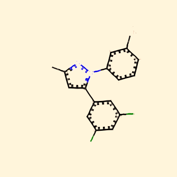 CCOC(=O)c1cc(-c2cc(F)cc(Cl)c2)n(-c2cccc(C#N)c2)n1